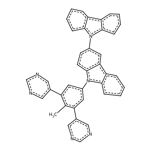 Cc1c(-c2cncnc2)cc(-n2c3ccccc3c3cc(-n4c5ccccc5c5ccccc54)ccc32)cc1-c1cncnc1